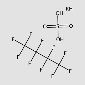 FC(F)(F)C(F)(F)C(F)(F)C(F)(F)F.O=S(=O)(O)O.[KH]